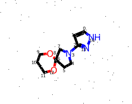 c1cc(N2CCC3(C2)OCCCO3)n[nH]1